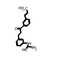 N=C(N)Nc1cccc(CCC(=O)c2cccc(/C=C/C(=O)O)c2)c1